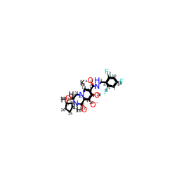 O=C(NCc1c(F)cc(F)cc1F)c1cn2c(c([O-])c1=O)C(=O)N1[C@H]3CC[C@H](C3)O[C@@H]1C2.[K+]